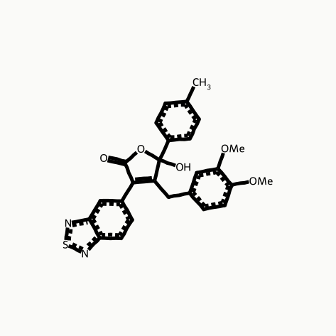 COc1ccc(CC2=C(c3ccc4nsnc4c3)C(=O)OC2(O)c2ccc(C)cc2)cc1OC